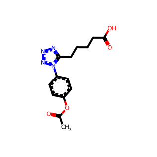 CC(=O)Oc1ccc(-n2nnnc2CCCCC(=O)O)cc1